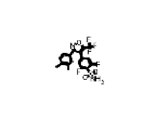 Cc1ccc(-c2noc(C(F)(F)F)c2-c2cc(F)c(S(N)(=O)=O)c(F)c2)cc1C